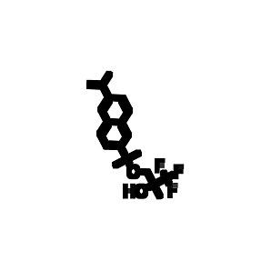 C=C(C)c1ccc2cc(C(C)(C)OCC(C)(O)C(F)(F)F)ccc2c1